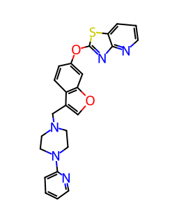 c1ccc(N2CCN(Cc3coc4cc(Oc5nc6ncccc6s5)ccc34)CC2)nc1